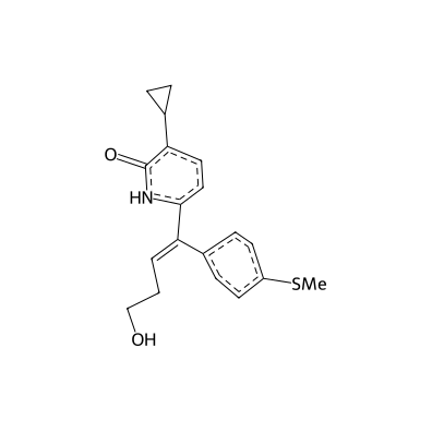 CSc1ccc(/C(=C\CCO)c2ccc(C3CC3)c(=O)[nH]2)cc1